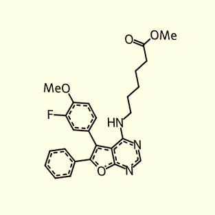 COC(=O)CCCCCNc1ncnc2oc(-c3ccccc3)c(-c3ccc(OC)c(F)c3)c12